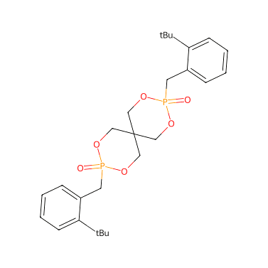 CC(C)(C)c1ccccc1CP1(=O)OCC2(CO1)COP(=O)(Cc1ccccc1C(C)(C)C)OC2